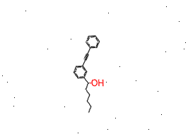 CCCCCC(O)c1cccc(C#Cc2ccccc2)c1